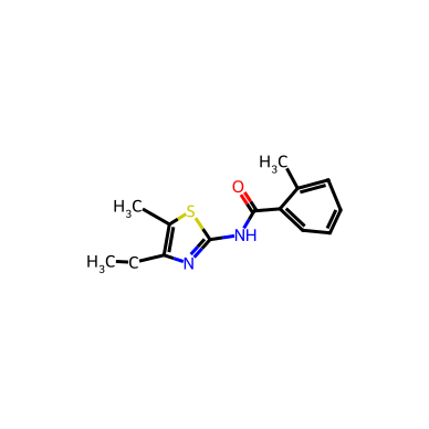 CCc1nc(NC(=O)c2ccccc2C)sc1C